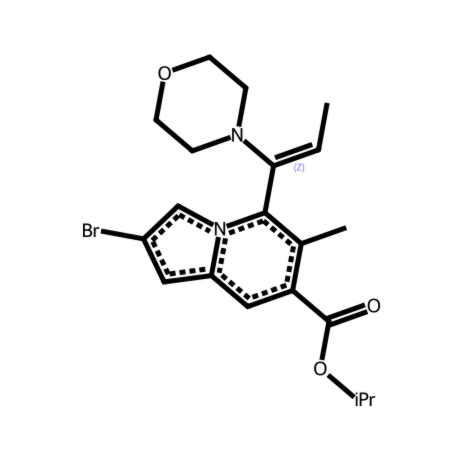 C/C=C(/c1c(C)c(C(=O)OC(C)C)cc2cc(Br)cn12)N1CCOCC1